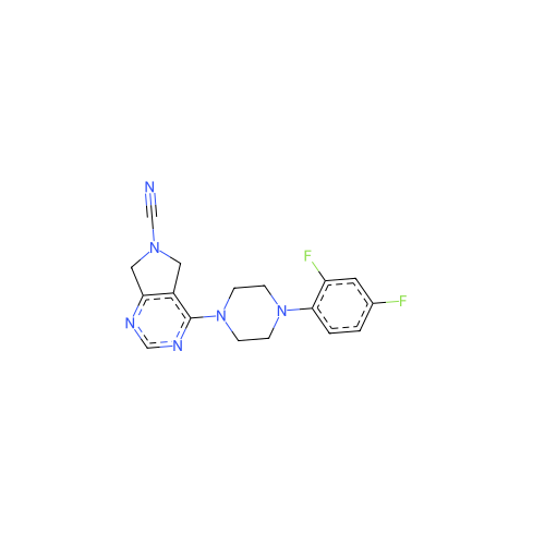 N#CN1Cc2ncnc(N3CCN(c4ccc(F)cc4F)CC3)c2C1